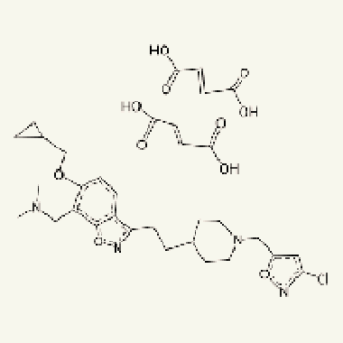 CN(C)Cc1c(OCC2CC2)ccc2c(CCC3CCN(Cc4cc(Cl)no4)CC3)noc12.O=C(O)/C=C/C(=O)O.O=C(O)/C=C/C(=O)O